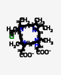 C=CC1=C(C)c2cc3[nH]c(cc4nc(cc5[nH]c(cc1n2)c(C)c5CCC(=O)[O-])C(CCC(=O)[O-])=C4C)c(C)c3C=C.[Cl][Rh+2]